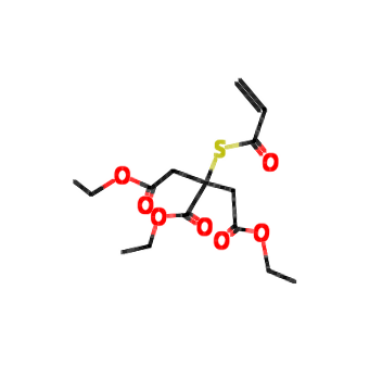 C=CC(=O)SC(CC(=O)OCC)(CC(=O)OCC)C(=O)OCC